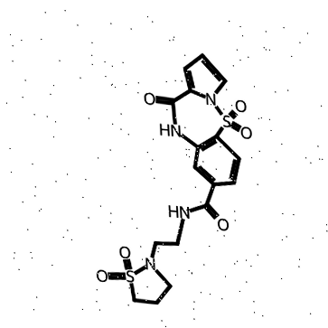 O=C(NCCN1CCCS1(=O)=O)c1ccc2c(c1)NC(=O)c1cccn1S2(=O)=O